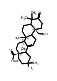 COC(=O)[C@]12CCC(C)(C)CC1C1=CCC3[C@@]4(CO)CCC(=O)C(C)(C)C4CC[C@@]3(C)[C@]1(C)CC2